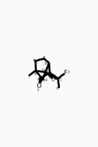 C/C(F)=C1\C(=O)C2(C)CCC1C2(C)C